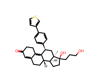 C[C@@]12C[C@H](c3ccc(-c4ccsc4)cc3)C3=C4CCC(=O)C=C4CC[C@H]3[C@@H]1CC[C@@]2(O)CCCO